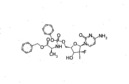 C[C@H](N[P@](=O)(OC[C@H]1O[C@@H](n2ccc(N)nc2=O)[C@](F)(I)C1O)Oc1ccccc1)C(=O)OCc1ccccc1